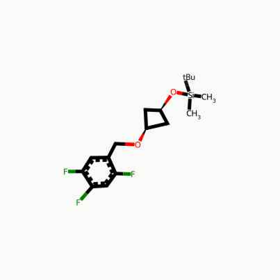 CC(C)(C)[Si](C)(C)O[C@H]1C[C@@H](OCc2cc(F)c(F)cc2F)C1